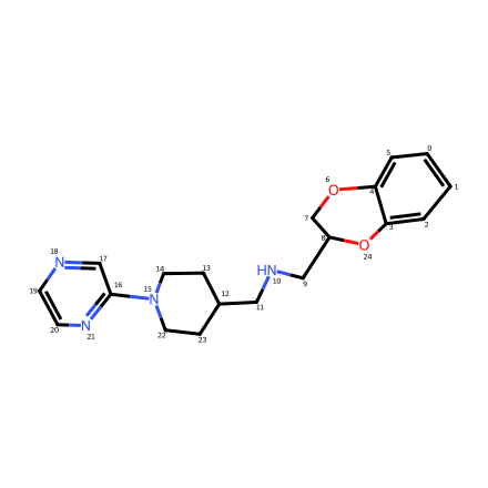 c1ccc2c(c1)OCC(CNCC1CCN(c3cnccn3)CC1)O2